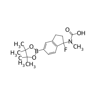 CN(C(=O)O)C1(F)CCc2cc(B3OC(C)(C)C(C)(C)O3)ccc21